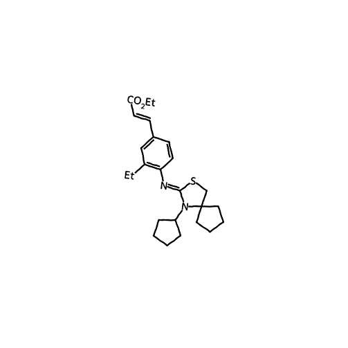 CCOC(=O)/C=C/c1ccc(/N=C2\SCC3(CCCC3)N2C2CCCC2)c(CC)c1